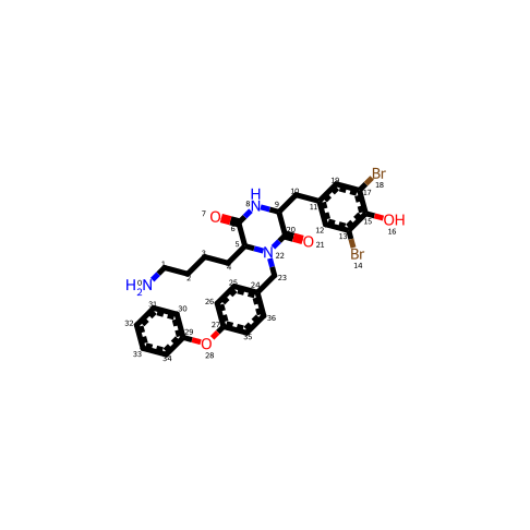 NCCCCC1C(=O)NC(Cc2cc(Br)c(O)c(Br)c2)C(=O)N1Cc1ccc(Oc2ccccc2)cc1